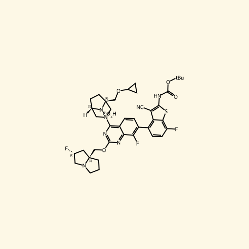 CC(C)(C)OC(=O)Nc1sc2c(F)ccc(-c3ccc4c(N5C[C@@H]6CC[C@](COC7CC7)(C5)N6C(=O)O)nc(OC[C@@]56CCCN5C[C@H](F)C6)nc4c3F)c2c1C#N